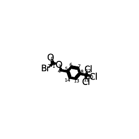 O=C(Br)OCc1ccc(C(Cl)(Cl)Cl)cc1